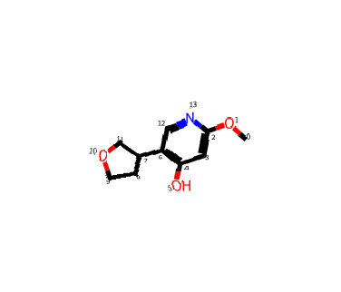 COc1cc(O)c(C2CCOC2)cn1